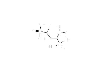 CN(C)C(CC(O)P(=O)(O)O)P(=O)(O)O